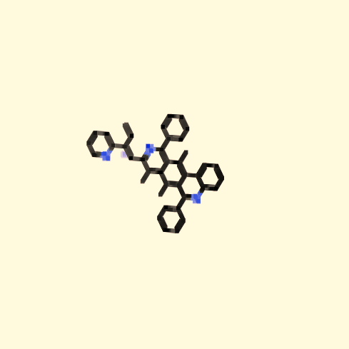 C=C/C(=C\c1nc(-c2ccccc2)c2c(C)c3c(c(-c4ccccc4)nc4ccccc43)c(C)c2c1C)c1ccccn1